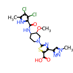 CO[C@H]1CN(c2nc(-c3cn(C)nn3)c(C(=O)O)s2)CC[C@H]1NC(=O)c1[nH]c(C)c(Cl)c1Cl